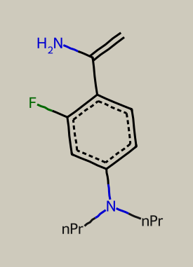 C=C(N)c1ccc(N(CCC)CCC)cc1F